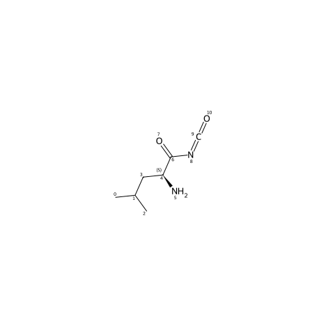 CC(C)C[C@H](N)C(=O)N=C=O